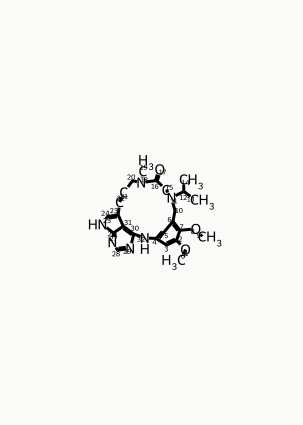 COc1cc2cc(c1OC)CN(C(C)C)CC(=O)N(C)CCCc1c[nH]c3ncnc(c13)N2